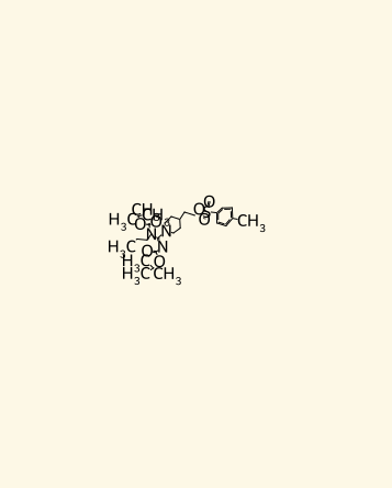 CCCN(C(=O)OC(C)(C)C)C(=NC(=O)OC(C)(C)C)N1CCC(CCOS(=O)(=O)c2ccc(C)cc2)CC1